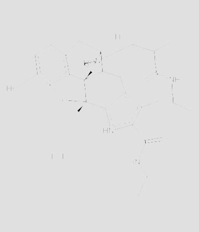 CCNC(=O)c1[nH]c2c(c1C)C[C@]1(O)[C@@H]3Cc4ccc(O)c5c4[C@@]1(CCN3CC(C)C(=O)NCC)[C@H]2O5.Cl